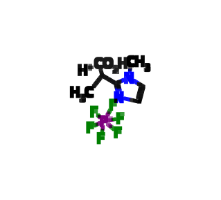 CC(C(=O)O)c1nccn1C.F[P-](F)(F)(F)(F)F.[H+]